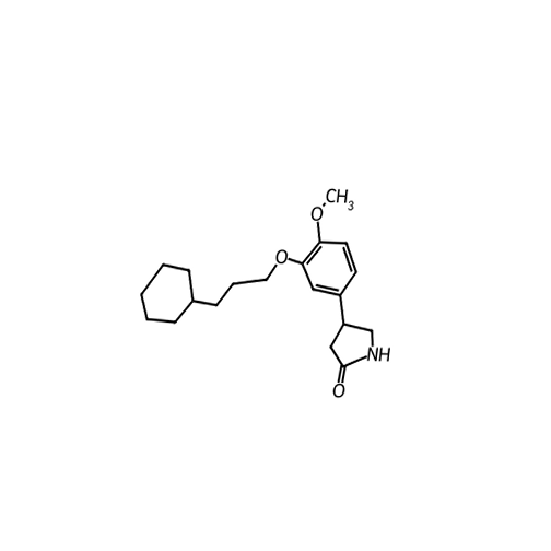 COc1ccc(C2CNC(=O)C2)cc1OCCCC1CCCCC1